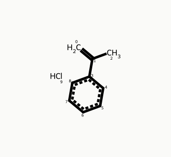 C=C(C)c1ccccc1.Cl